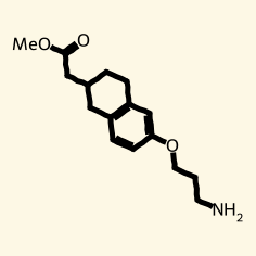 COC(=O)CC1CCc2cc(OCCCN)ccc2C1